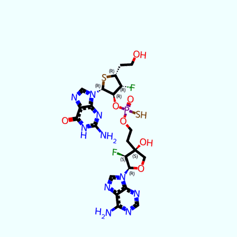 Nc1nc2c(ncn2[C@@H]2S[C@H](CCO)[C@H](F)[C@H]2OP(=O)(S)OCC[C@]2(O)CO[C@@H](n3cnc4c(N)ncnc43)[C@H]2F)c(=O)[nH]1